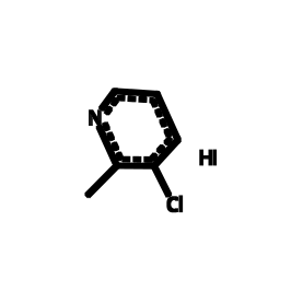 Cc1ncccc1Cl.I